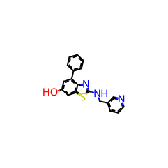 Oc1cc(-c2ccccc2)c2nc(NCc3cccnc3)sc2c1